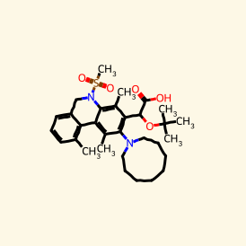 Cc1cccc2c1-c1c(C)c(N3CCCCCCCC3)c(C(OC(C)(C)C)C(=O)O)c(C)c1N(S(C)(=O)=O)C2